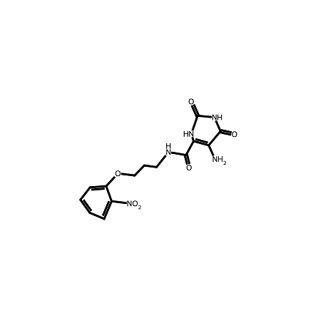 Nc1c(C(=O)NCCCOc2ccccc2[N+](=O)[O-])[nH]c(=O)[nH]c1=O